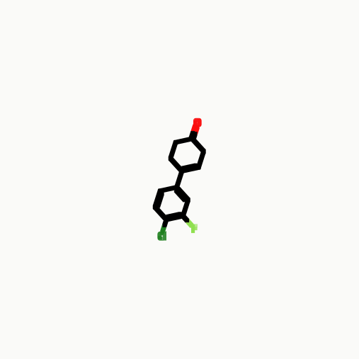 O=C1CC=C(c2ccc(Cl)c(F)c2)CC1